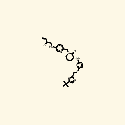 C=CC(=O)CNc1ccc(CN2CCC[C@@H](Nc3ncc(SCc4ncc(C(C)(C)C)o4)s3)C2=O)nc1